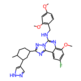 COc1ccc(CNc2nc3c(OC)cc(F)cc3c3nc(C4CCC(C)C(c5cn[nH]c5)C4)nn23)c(OC)c1